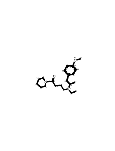 CCN(CCCC(=S)N1CCCCC1)C(C)Cc1ccc(OC)cc1